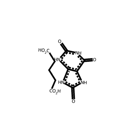 O=C(O)CCCC(=O)O.O=c1[nH]c(=O)c2[nH]c(=O)[nH]c2[nH]1